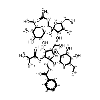 CC(=O)OC[C@@]1(O[C@H]2O[C@H](CO)[C@@H](O)[C@H](O)[C@H]2O)O[C@H](CO)[C@@H](O)[C@@H]1O.CC(C)C(=O)O[C@H]1[C@H](O)[C@@H](CO)O[C@@]1(COC(=O)c1ccccc1)O[C@H]1O[C@H](CO)[C@@H](O)[C@H](O)[C@H]1O